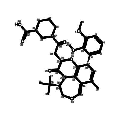 COc1cccc([C@@H]2C=C(C)C3=COC[C@@H](C(C)(C)C)N4C(=O)[C@@H](CC(=O)N5CCCC(C(=O)O)C5)OC2=C34)c1OC